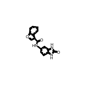 O=C(Nc1ccc2[nH]c(=O)[nH]c2c1)c1coc2ccccc12